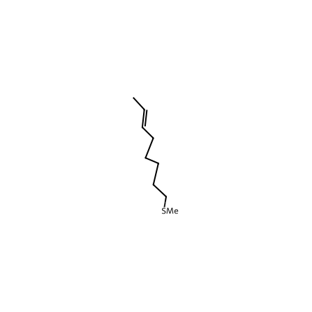 [CH2]SCCCCC/C=C/C